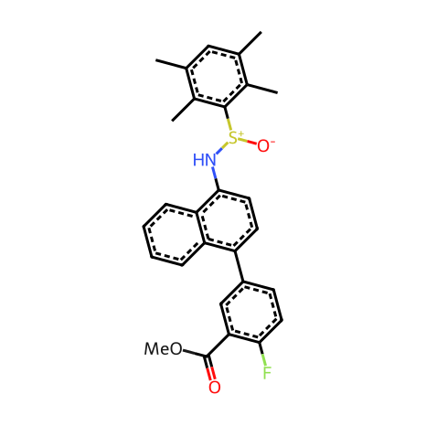 COC(=O)c1cc(-c2ccc(N[S+]([O-])c3c(C)c(C)cc(C)c3C)c3ccccc23)ccc1F